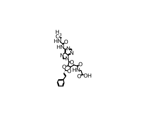 CCNC(=O)Nc1ncnc2c1ncn2C1OC(C(=O)NCC(=O)O)C2O[C@H](/C=C/c3ccccc3)OC21